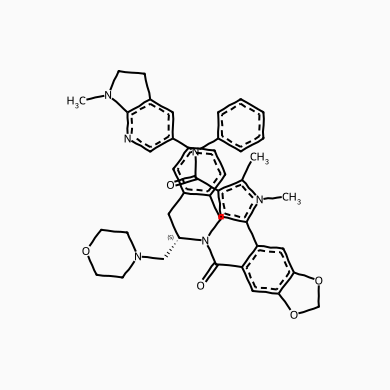 Cc1c(C(=O)N(c2ccccc2)c2cnc3c(c2)CCN3C)cc(-c2cc3c(cc2C(=O)N2Cc4ccccc4C[C@H]2CN2CCOCC2)OCO3)n1C